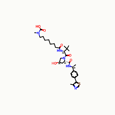 Cc1ncsc1-c1ccc([C@H](C)NC(=O)[C@@H]2C[C@@H](O)CN2C(=O)[C@@H](NC(=O)CCCCCCCN(C)C(=O)O)C(C)(C)C)cc1